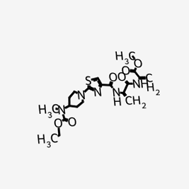 C=C(NC(=O)c1csc(N2CCC(N(C)C(=O)OCC)CC2)n1)C(=O)NC(=C)C(=O)OC